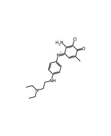 CCN(CC)CCNc1ccc(/N=C2\C=C(C)C(=O)C(Cl)=C2N)cc1